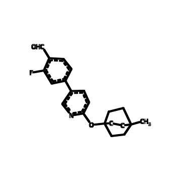 CC12CCC(Oc3ccc(-c4ccc(C=O)c(F)c4)cn3)(CC1)CC2